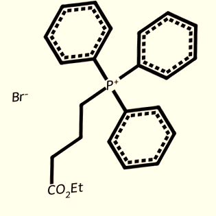 CCOC(=O)CCC[P+](c1ccccc1)(c1ccccc1)c1ccccc1.[Br-]